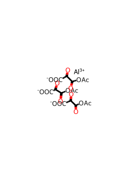 CC(=O)OC(=O)C(=O)C(=O)[O-].CC(=O)OC(=O)C(=O)C(=O)[O-].CC(=O)OC(=O)C(=O)C(=O)[O-].[Al+3]